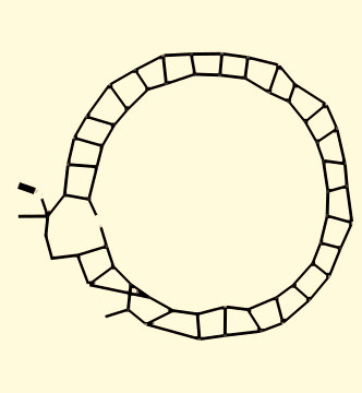 CC1C2C3C4CC5C6C7C8C9C%10C%11C%12C%13C%14C%15C%16C%17C%18C%19C%20C%21C%22C%23C%24C%25C%26C%27C%28C%29C1C%28C%27C%26C%25C%24C%23C%22C%21C%20C%19C%18C%17C%16C%15C%14C%13C%12C%11C%10C9C8C7C6C5C(C)(N=O)CCC4C3C2%29